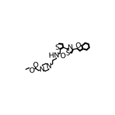 CCOC(=O)CN1CCN(CCCNC(=O)c2sccc2-c2nc(-c3cc4ccccc4o3)cs2)CC1